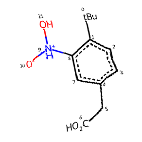 CC(C)(C)c1ccc(CC(=O)O)cc1[NH+]([O-])O